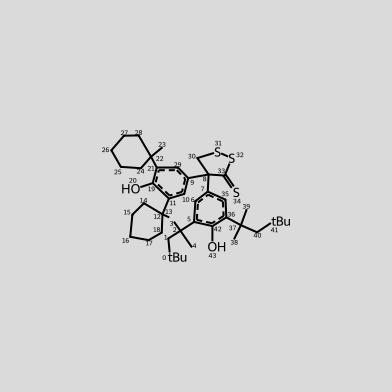 CC(C)(C)CC(C)(C)c1cc(C2(c3cc(C4(C)CCCCC4)c(O)c(C4(C)CCCCC4)c3)CSSC2=S)cc(C(C)(C)CC(C)(C)C)c1O